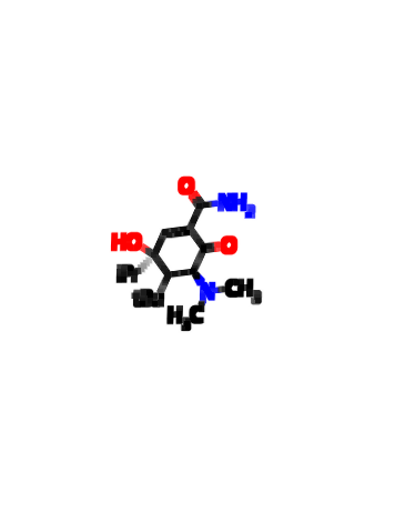 CC(C)[C@]1(O)C=C(C(N)=O)C(=O)[C@@H](N(C)C)C1C(C)(C)C